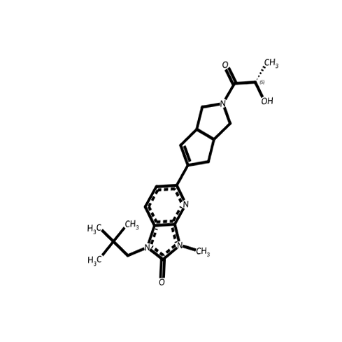 C[C@H](O)C(=O)N1CC2C=C(c3ccc4c(n3)n(C)c(=O)n4CC(C)(C)C)CC2C1